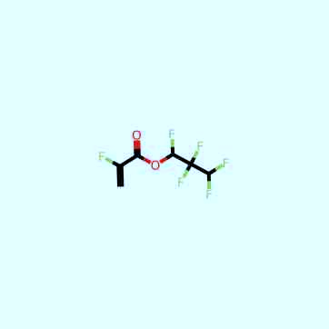 C=C(F)C(=O)OC(F)C(F)(F)C(F)F